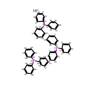 I.c1ccc(P(c2ccccc2)c2ccccc2)cc1.c1ccc(P(c2ccccc2)c2ccccc2)cc1.c1ccc(P(c2ccccc2)c2ccccc2)cc1